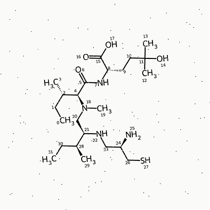 CC[C@H](C)[C@@H](C(=O)N[C@@H](CCC(C)(C)O)C(=O)O)N(C)C[C@@H](NC[C@@H](N)CS)[C@@H](C)CC